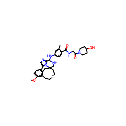 COc1ccc(-c2cnc3n2C2(CCCCCCCC2)CNC3Nc2ccc(C(=O)NCC(=O)N3CCC(O)CC3)c(C)c2)cc1